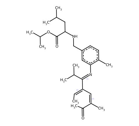 C/C=C(\C=C(\C)C(C)=O)C(=N/c1cc(CNC(CC(C)C)C(=O)OC(C)C)ccc1C)/C(C)C